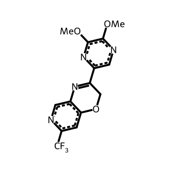 COc1ncc(C2=Nc3cnc(C(F)(F)F)cc3OC2)nc1OC